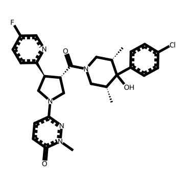 C[C@@H]1CN(C(=O)[C@@H]2CN(c3ccc(=O)n(C)n3)C[C@H]2c2ccc(F)cn2)C[C@H](C)C1(O)c1ccc(Cl)cc1